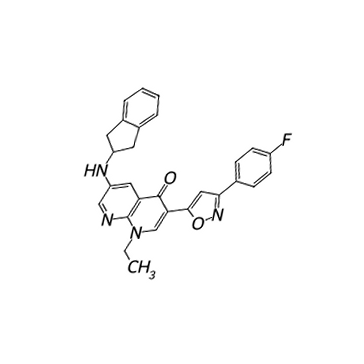 CCn1cc(-c2cc(-c3ccc(F)cc3)no2)c(=O)c2cc(NC3Cc4ccccc4C3)cnc21